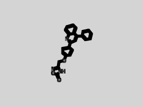 O=c1[nH]c(COc2ccc(-c3cc(-c4ccccc4)c4ccccc4n3)cc2)no1